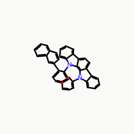 c1ccc(-n2c3ccccc3c3ccc4c5ccccc5n(-c5ccccc5-c5ccc6ccccc6c5)c4c32)cc1